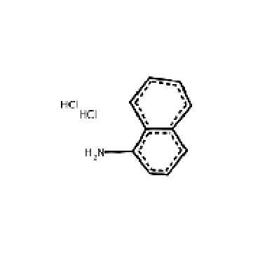 Cl.Cl.Nc1cccc2ccccc12